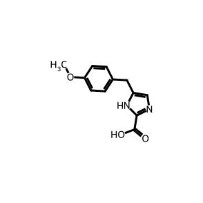 COc1ccc(Cc2cnc(C(=O)O)[nH]2)cc1